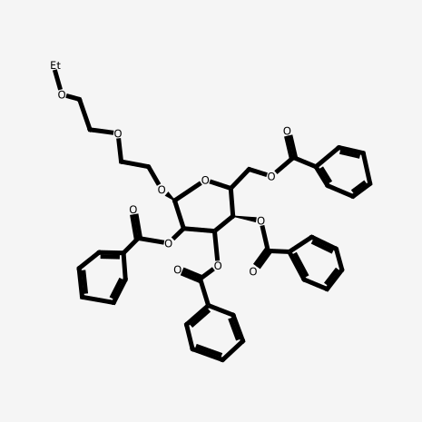 CCOCCOCCO[C@H]1OC(COC(=O)c2ccccc2)[C@@H](OC(=O)c2ccccc2)C(OC(=O)c2ccccc2)C1OC(=O)c1ccccc1